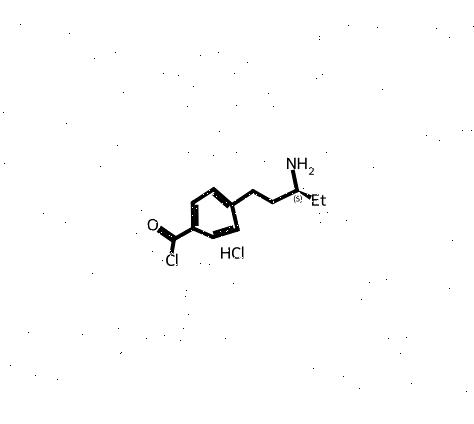 CC[C@H](N)CCc1ccc(C(=O)Cl)cc1.Cl